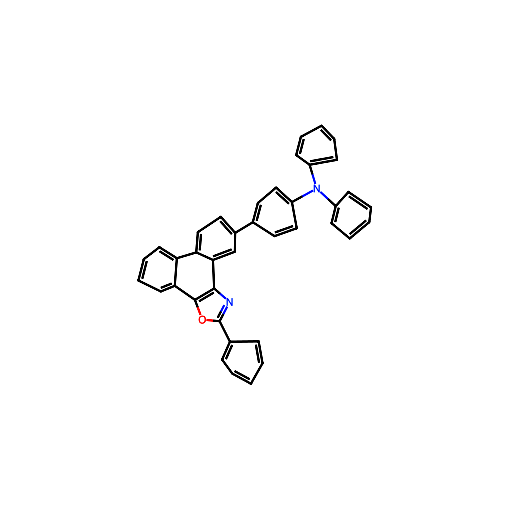 c1ccc(-c2nc3c4cc(-c5ccc(N(c6ccccc6)c6ccccc6)cc5)ccc4c4ccccc4c3o2)cc1